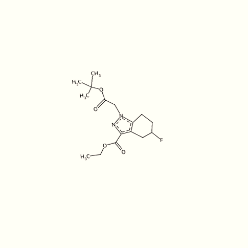 CCOC(=O)c1nn(CC(=O)OC(C)(C)C)c2c1CC(F)CC2